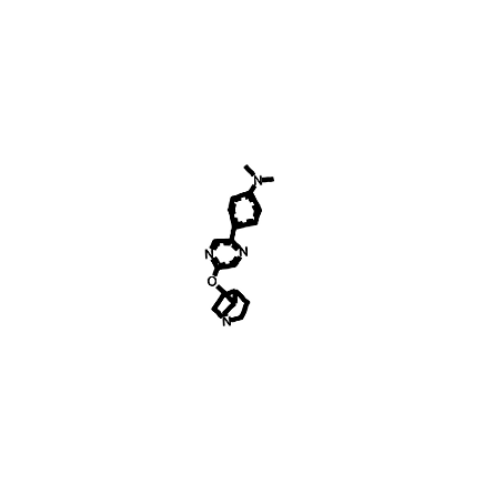 CN(C)c1ccc(-c2cnc(OC3CN4CCC3CC4)cn2)cc1